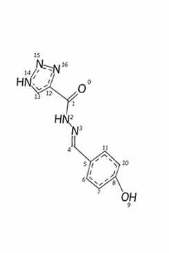 O=C(NN=Cc1ccc(O)cc1)c1c[nH]nn1